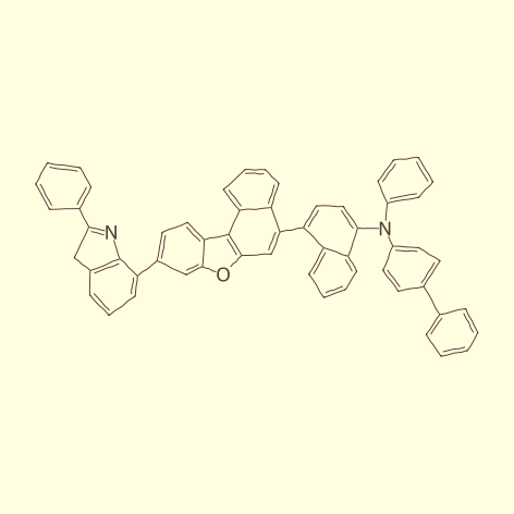 c1ccc(C2=Nc3c(cccc3-c3ccc4c(c3)oc3cc(-c5ccc(N(c6ccccc6)c6ccc(-c7ccccc7)cc6)c6ccccc56)c5ccccc5c34)C2)cc1